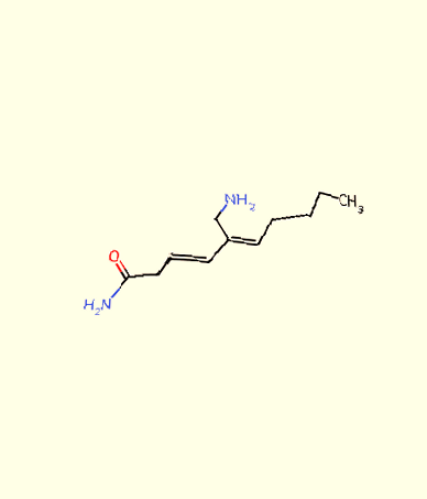 CCCC/C=C(/C=C/CC(N)=O)CN